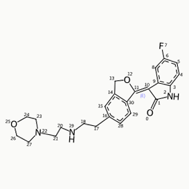 O=C1Nc2ccc(F)cc2/C1=C1\OCc2cc(CCNCCN3CCOCC3)ccc21